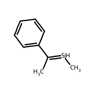 C[SiH]=C(C)c1ccccc1